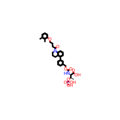 Cc1cccc(OCCCC(=O)N2CCCc3c(-c4cccc(COC(=O)N[C@H](C(=O)O)[C@@H](C)OP(=O)(O)O)c4)cccc32)c1C